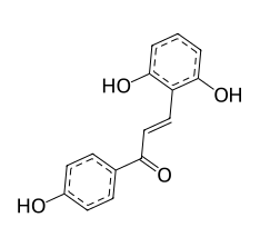 O=C(C=Cc1c(O)cccc1O)c1ccc(O)cc1